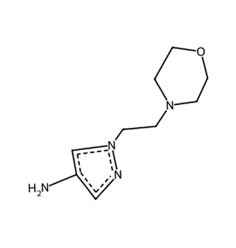 Nc1cnn(CCN2CCOCC2)c1